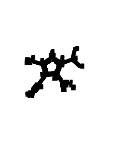 CC(C)n1nc(Br)c(C#N)c1N